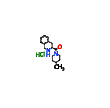 CC1CCN(C(=O)[C@@H]2Cc3ccccc3CN2)CC1.Cl